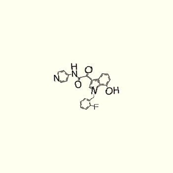 O=C(Nc1ccncc1)C(=O)c1cn(Cc2ccccc2F)c2c(O)cccc12